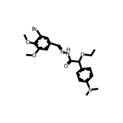 CCOC(C(=O)N/N=C/c1cc(Br)c(OC)c(OC)c1)c1ccc(N(C)C)cc1